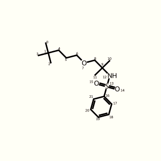 CC(C)(C)CCCOCC(C)(C)NS(=O)(=O)c1ccccc1